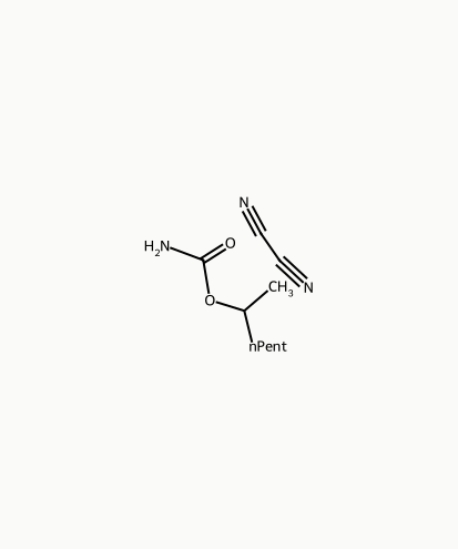 CCCCCC(C)OC(N)=O.N#CC#N